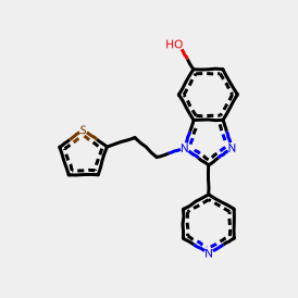 Oc1ccc2nc(-c3ccncc3)n(CCc3cccs3)c2c1